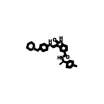 Cc1ccc([C@@H](C)NC(=O)c2ccc3c(c2)/C(=C/Nc2ccc(CN4CCCCC4)cc2)C(=O)N3)cc1